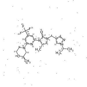 Cc1cn(Cc2cnn(C(C)C)c2)c(=O)n1-c1cc(C(F)(F)F)cc(N2CCO[C@H](C)C2)n1